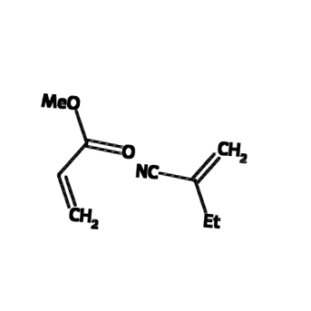 C=C(C#N)CC.C=CC(=O)OC